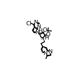 Cc1cnc2cc(CC[C@H]3C[C@@H](n4ccc5c(Cl)ncnc54)[C@@H]4OC(C)(C)O[C@H]34)ccn12